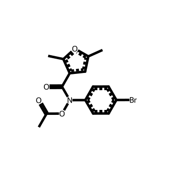 CC(=O)ON(C(=O)c1cc(C)oc1C)c1ccc(Br)cc1